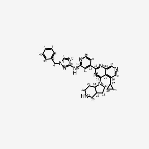 c1ccc(Cn2cnc(Nc3cc(-c4nc(N5CCC6CNCCC65)c5c(C6CC6)cncc5n4)ccn3)n2)cc1